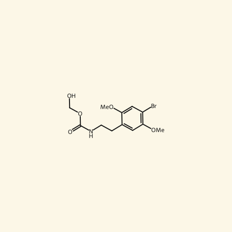 COc1cc(CCNC(=O)OCO)c(OC)cc1Br